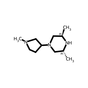 C[C@@H]1CN(C2CCN(C)C2)C[C@@H](C)N1